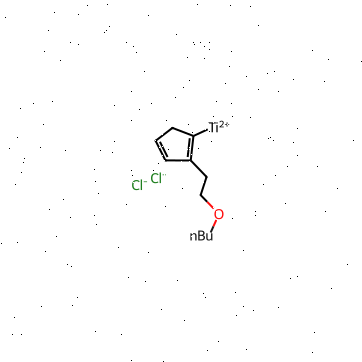 CCCCOCCC1=[C]([Ti+2])CC=C1.[Cl-].[Cl-]